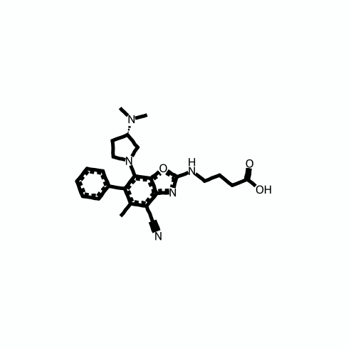 Cc1c(-c2ccccc2)c(N2CC[C@H](N(C)C)C2)c2oc(NCCCC(=O)O)nc2c1C#N